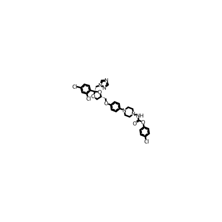 O=C(NN1CCN(c2ccc(OC[C@@H]3CO[C@@](Cn4cncn4)(c4ccc(Cl)cc4Cl)O3)cc2)CC1)Oc1ccc(Cl)cc1